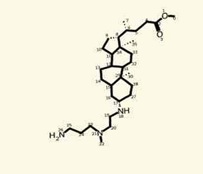 COC(=O)CC[C@@H](C)[C@H]1CCC2C3CCC4C[C@@H](NCCN(C)CCCN)CC[C@]4(C)C3CC[C@@]21C